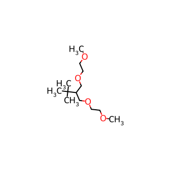 COCCOCC(COCCOC)C(C)(C)C